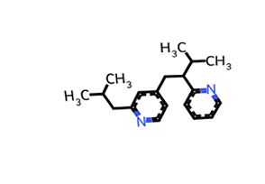 CC(C)Cc1cc(CC(c2ccccn2)C(C)C)ccn1